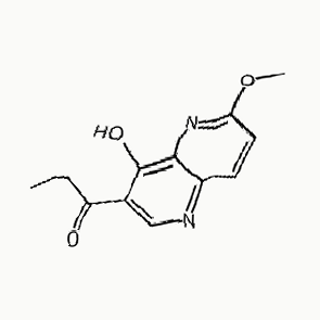 CCC(=O)c1cnc2ccc(OC)nc2c1O